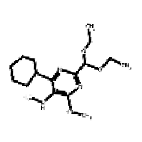 CCOC(OCC)c1nc(NC)c(NC)c(C2CCCCC2)n1